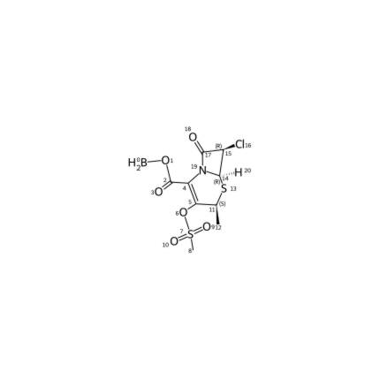 BOC(=O)C1=C(OS(C)(=O)=O)[C@H](C)S[C@@H]2[C@H](Cl)C(=O)N12